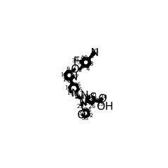 N#Cc1ccc(COc2cccc(C3CCN(Cc4nc5sc(C(=O)O)cc5n4C[C@@H]4CCCO4)CC3)n2)c(F)c1